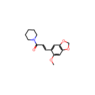 COc1cc2c(cc1C=CC(=O)N1CCCCC1)OCO2